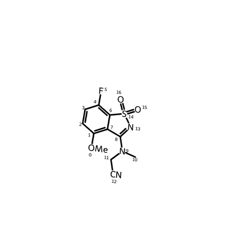 COc1ccc(F)c2c1C(N(C)CC#N)=NS2(=O)=O